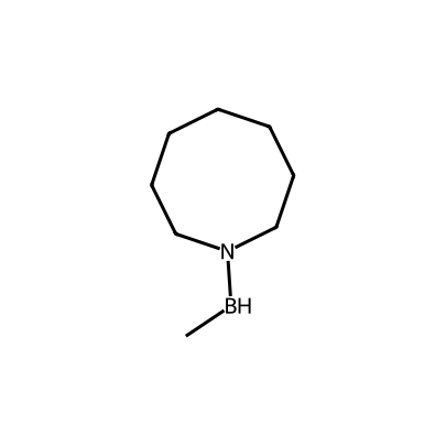 CBN1CCCCCCC1